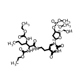 CCCC(NC(=O)OCC)C(NC(=O)OCC)C(=O)NCCc1cn([C@@H]2CC(OP(=O)(OC)OC)[C@H](CO)O2)c(=O)[nH]c1=O